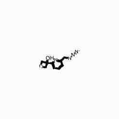 [N-]=[N+]=NCc1cccc(C2(O)COC2)n1